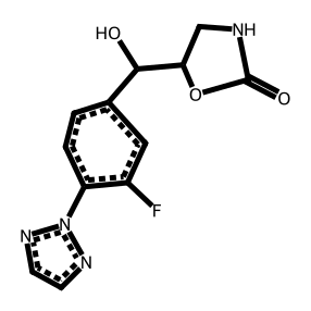 O=C1NCC(C(O)c2ccc(-n3nccn3)c(F)c2)O1